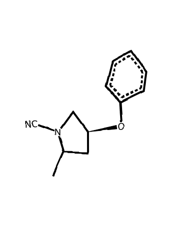 CC1C[C@H](Oc2ccccc2)CN1C#N